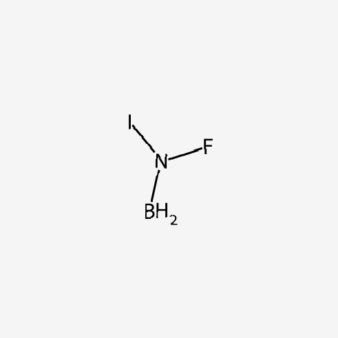 BN(F)I